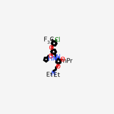 [CH2]CCOc1cc(OCCCN(CC)CC)cc2[nH]c(-c3ccc(Oc4ccc(Cl)c(C(F)(F)F)c4)cc3OCC3CCCC3)nc12